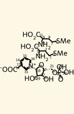 CSCCC(N)C(=O)O.CSCCC(N)C(=O)O.O=C([O-])c1ccc[n+]([C@@H]2O[C@H](COP(=O)(O)O)[C@@H](O)[C@H]2O)c1